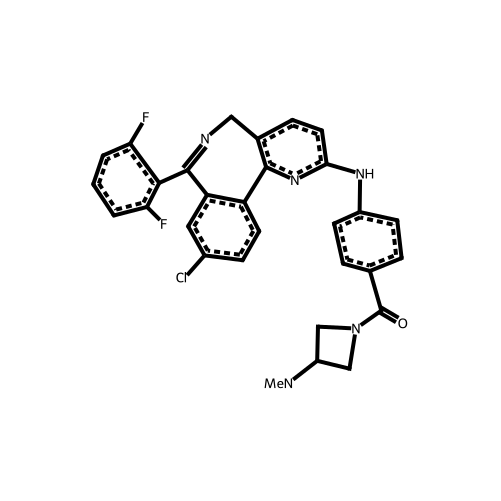 CNC1CN(C(=O)c2ccc(Nc3ccc4c(n3)-c3ccc(Cl)cc3C(c3c(F)cccc3F)=NC4)cc2)C1